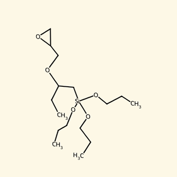 CCCO[Si](CC(CC)OCC1CO1)(OCCC)OCCC